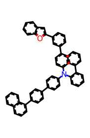 c1ccc(-c2ccccc2N(c2ccc(-c3ccc(-c4cccc5ccccc45)cc3)cc2)c2ccc(-c3cccc(-c4cc5ccccc5o4)c3)cc2)cc1